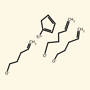 C=CCCC[O-].C=CCCC[O-].C=CCCC[O-].[Ti+3][C]1=CC=CC1